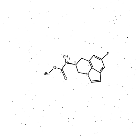 CN(C(=O)OC(C)(C)C)[C@H]1Cc2cc(F)cc3ccn(c23)C1